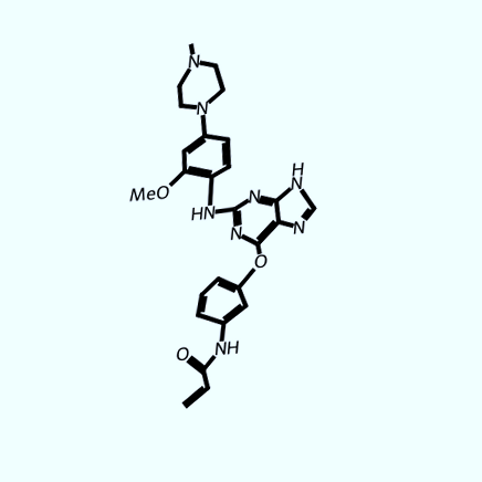 C=CC(=O)Nc1cccc(Oc2nc(Nc3ccc(N4CCN(C)CC4)cc3OC)nc3[nH]cnc23)c1